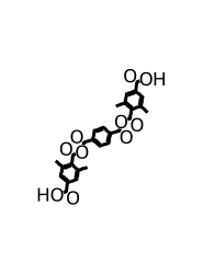 Cc1cc(C(=O)O)cc(C)c1C(=O)OC(=O)c1ccc(C(=O)OC(=O)c2c(C)cc(C(=O)O)cc2C)cc1